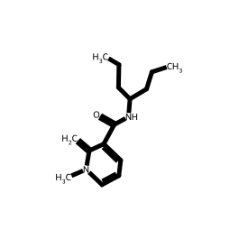 C=C1C(C(=O)NC(CCC)CCC)=CC=CN1C